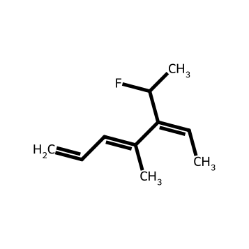 C=C/C=C(C)/C(=C\C)C(C)F